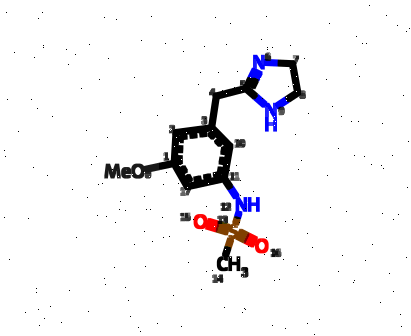 COc1cc(CC2=NCCN2)cc(NS(C)(=O)=O)c1